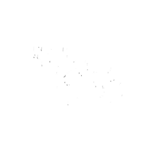 O=C(Nc1cc(F)c(-c2cn[nH]c2)cc1N1CCOCC1)C1COc2ccccc2O1